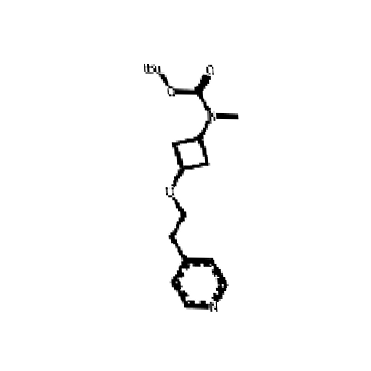 CN(C(=O)OC(C)(C)C)C1CC(OCCc2ccncc2)C1